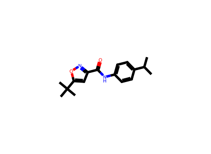 CC(C)c1ccc(NC(=O)c2cc(C(C)(C)C)on2)cc1